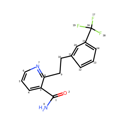 NC(=O)c1cccnc1CCc1cccc(C(F)(F)F)c1